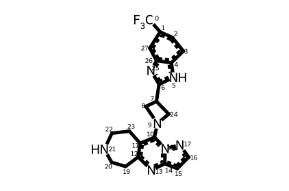 FC(F)(F)c1ccc2[nH]c(C3CN(c4c5c(nc6ccnn46)CCNCC5)C3)nc2c1